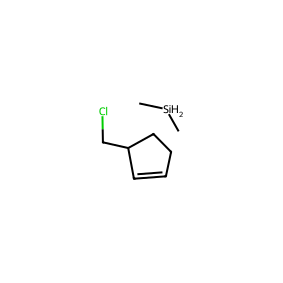 C[SiH2]C.ClCC1C=CCC1